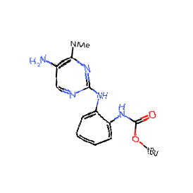 CNc1nc(Nc2ccccc2NC(=O)OC(C)(C)C)ncc1N